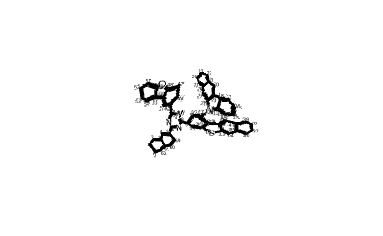 c1ccc2cc(-c3nc(-c4cc(-n5c6ccccc6c6cc7ccccc7cc65)c5c(c4)sc4cc6ccccc6cc45)nc(-c4ccc5oc6ccccc6c5c4)n3)ccc2c1